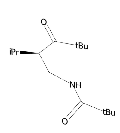 CC(C)[C@H](CNC(=O)C(C)(C)C)C(=O)C(C)(C)C